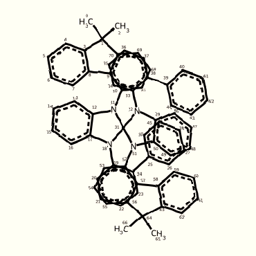 CC1(C)c2ccccc2-c2c(N3c4ccccc4N(c4ccccc4-c4ccccc4)C34N(c3ccccc3-c3ccccc3)c3ccccc3N4c3cccc4c3-c3ccccc3C4(C)C)cccc21